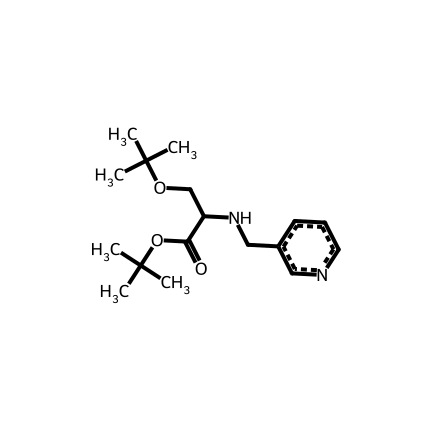 CC(C)(C)OCC(NCc1cccnc1)C(=O)OC(C)(C)C